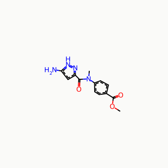 COC(=O)c1ccc(N(C)C(=O)c2cc(N)[nH]n2)cc1